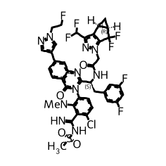 CNc1c(-n2c([C@H](Cc3cc(F)cc(F)c3)NC(=O)Cn3nc(C(F)F)c4c3C(F)(F)[C@@H]3C[C@H]43)nc3cc(-c4cnn(CCF)c4)ccc3c2=O)ccc(Cl)c1C(=N)NS(C)(=O)=O